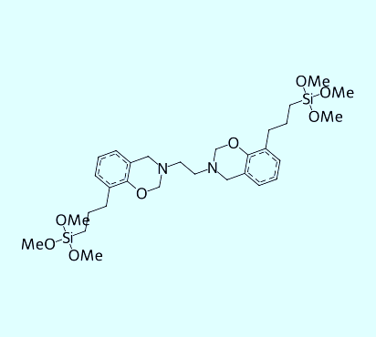 CO[Si](CCCc1cccc2c1OCN(CCN1COc3c(CCC[Si](OC)(OC)OC)cccc3C1)C2)(OC)OC